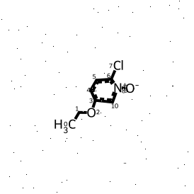 CCOc1ccc(Cl)[n+]([O-])c1